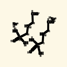 O=C([O-])CNCP(=O)(O)O.O=C([O-])CNCP(=O)(O)O.[Na+].[Na+]